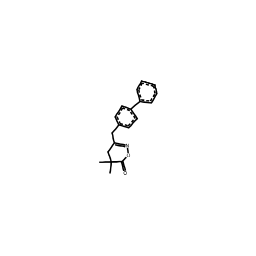 CC1(C)CC(Cc2ccc(-c3ccccc3)cc2)=NOC1=O